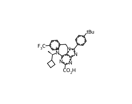 C[C@@H](Nc1nc(C(=O)O)nc2nc(-c3ccc(C(C)(C)C)cc3)n(Cc3ccc(C(F)(F)F)cc3)c12)C1CCC1